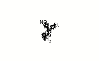 CCc1ccc(-n2nc(C(=O)N3CCC[C@@H](N)C3)cc2-c2ccc(C#N)cc2)cc1